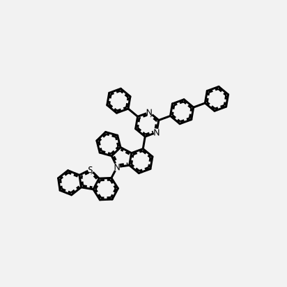 c1ccc(-c2ccc(-c3nc(-c4ccccc4)cc(-c4cccc5c4c4ccccc4n5-c4cccc5c4sc4ccccc45)n3)cc2)cc1